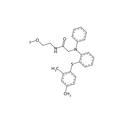 Cc1ccc(Sc2ccccc2N(CC(=O)NCCOI)c2ccccc2)c(C)c1